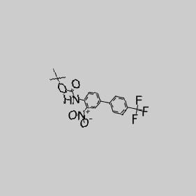 CC(C)(C)OC(=O)Nc1ccc(-c2ccc(C(F)(F)F)cc2)cc1[N+](=O)[O-]